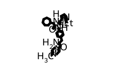 CCn1nccc1C(=O)N[C@H](C(=O)Nc1ccc(C[C@@H](N)C(=O)N2CCN(C)CC2)cc1)C1CCCCCC1